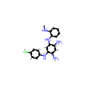 CNc1ccccc1Nc1cc(Nc2ccc(Cl)cc2)c(N)cc1N